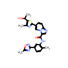 Cc1nc(-c2ccc(C)c(NC(=O)c3cnc4ccc(-c5nc(C)c(C(C)O)s5)cn34)c2)no1